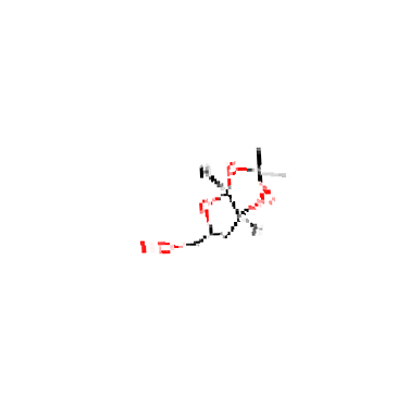 CC1(C)O[C@H]2O[C@H](CO)C[C@@H]2O1